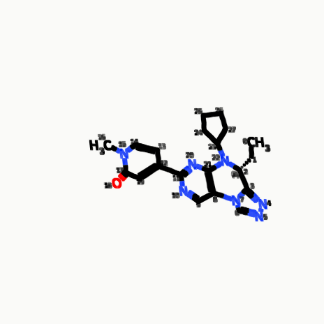 CC[C@@H]1c2nncn2-c2cnc(-c3ccn(C)c(=O)c3)nc2N1C1CCCC1